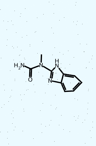 CN(C(N)=O)c1nc2ccccc2[nH]1